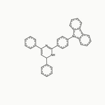 C1=C(c2ccccc2)N=C(c2ccc(-n3c4ccccc4c4ccccc43)cc2)NC1c1ccccc1